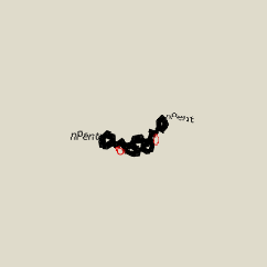 CCCCCc1ccc(-c2cc3c(ccc4c3ccc3c5cc(-c6ccc(CCCCC)cc6)oc5ccc34)o2)cc1